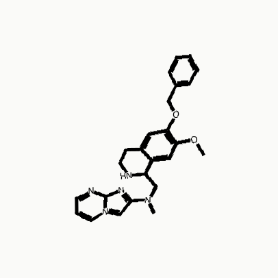 COc1cc2c(cc1OCc1ccccc1)CCNC2CN(C)C1=NC2N=CC=C[N+]2=C1